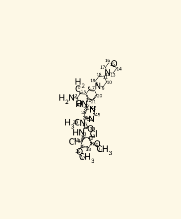 C=C(C(N)=O)c1cc(N2CCC(N3CCOCC3)CC2)ccc1Nc1cc(N(C)C(=O)Nc2c(Cl)c(OC)cc(OC)c2Cl)ncn1